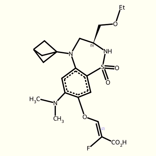 CCOC[C@@H]1CN(C23CC(C2)C3)c2cc(N(C)C)c(O/C=C(\F)C(=O)O)cc2S(=O)(=O)N1